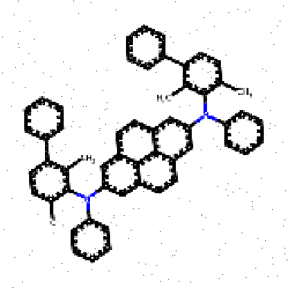 Cc1ccc(-c2ccccc2)c(C)c1N(c1ccccc1)c1cc2ccc3cc(N(c4ccccc4)c4c(C)ccc(-c5ccccc5)c4C)cc4ccc(c1)c2c34